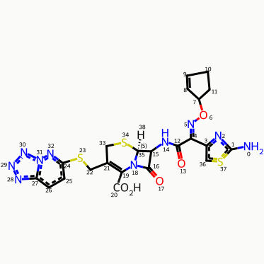 Nc1nc(C(=NOC2C=CCC2)C(=O)NC2C(=O)N3C(C(=O)O)=C(CSc4ccc5nnnn5n4)CS[C@@H]23)cs1